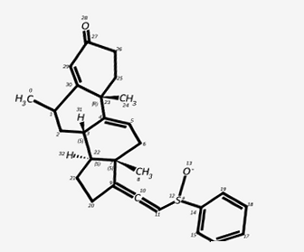 CC1C[C@@H]2C(=CC[C@]3(C)C(=C=C[S+]([O-])c4ccccc4)CC[C@@H]23)[C@@]2(C)CCC(=O)C=C12